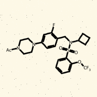 CC(=O)N1CCN(c2ccc(CN(C3CCC3)S(=O)(=O)c3ccccc3OC(F)(F)F)c(F)c2)CC1